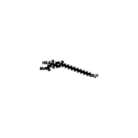 CNC(=O)CC[C@H](NC(=O)C1CCN(C(=O)CCCCCCCCCCCCCCCCCCC(=O)O)CC1)C(=O)O